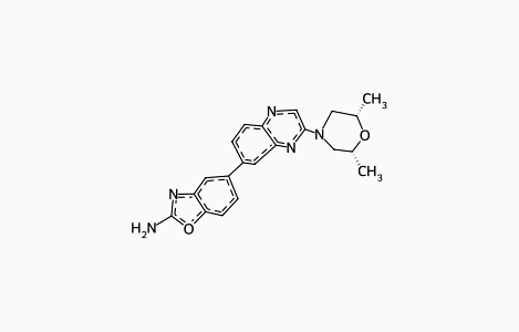 C[C@@H]1CN(c2cnc3ccc(-c4ccc5oc(N)nc5c4)cc3n2)C[C@H](C)O1